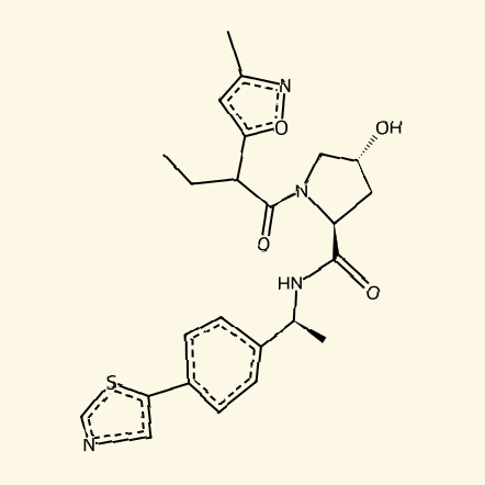 CCC(C(=O)N1C[C@H](O)C[C@H]1C(=O)N[C@@H](C)c1ccc(-c2cncs2)cc1)c1cc(C)no1